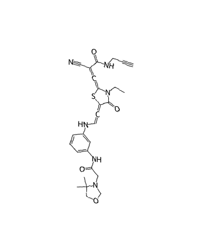 C#CCNC(=O)C(=C=c1sc(=C=CNc2cccc(NC(=O)CN3COCC3(C)C)c2)c(=O)n1CC)C#N